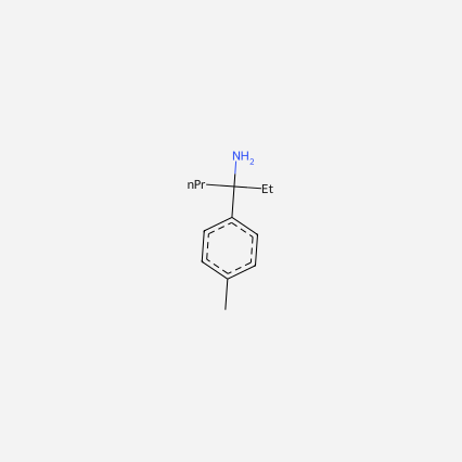 CCCC(N)(CC)c1ccc(C)cc1